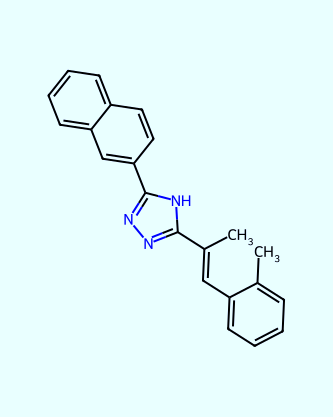 C/C(=C\c1ccccc1C)c1nnc(-c2ccc3ccccc3c2)[nH]1